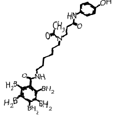 Bc1c(B)c(B)c(C(=O)NCCCCCCN(CCC(=O)Nc2ccc(O)cc2)C(C)=O)c(B)c1B